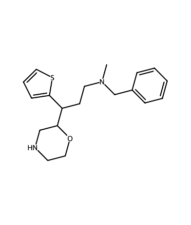 CN(CCC(c1cccs1)C1CNCCO1)Cc1ccccc1